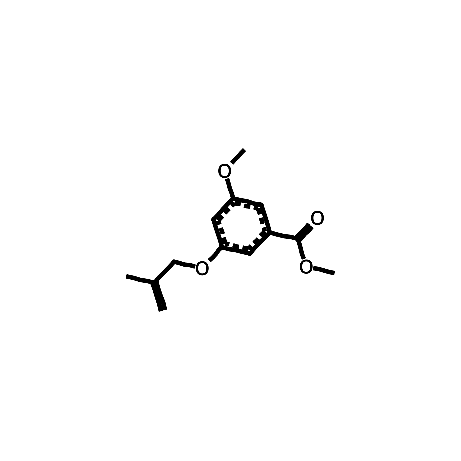 C=C(C)COc1cc(OC)cc(C(=O)OC)c1